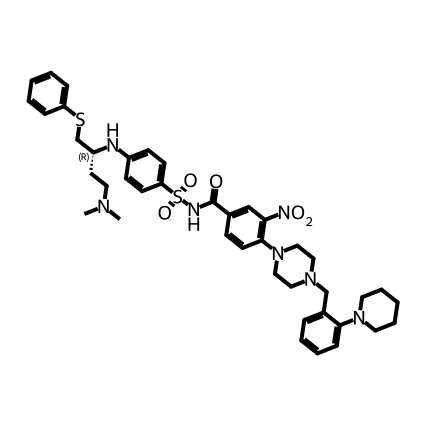 CN(C)CC[C@H](CSc1ccccc1)Nc1ccc(S(=O)(=O)NC(=O)c2ccc(N3CCN(Cc4ccccc4N4CCCCC4)CC3)c([N+](=O)[O-])c2)cc1